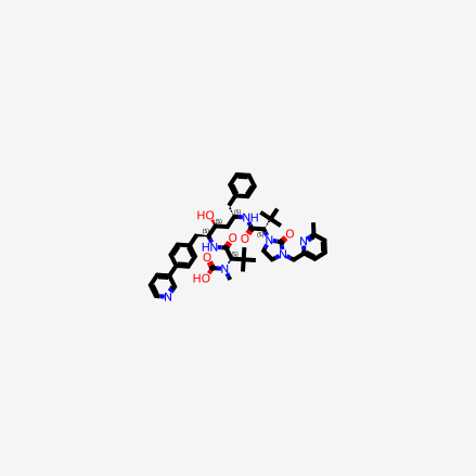 Cc1cccc(CN2CCN([C@H](C(=O)N[C@@H](Cc3ccccc3)C[C@H](O)[C@H](Cc3ccc(-c4cccnc4)cc3)NC(=O)[C@@H](N(C)C(=O)O)C(C)(C)C)C(C)(C)C)C2=O)n1